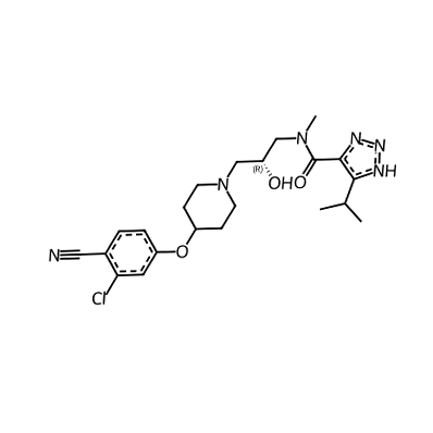 CC(C)c1[nH]nnc1C(=O)N(C)C[C@H](O)CN1CCC(Oc2ccc(C#N)c(Cl)c2)CC1